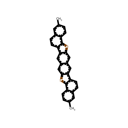 Cc1ccc2c(ccc3c4cc5cc6sc7c8ccc(C)cc8ccc7c6cc5cc4sc23)c1